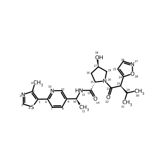 Cc1ncsc1-c1ccc([C@H](C)NC(=O)[C@@H]2C[C@@H](O)CN2C(=O)[C@@H](c2ccno2)C(C)C)cn1